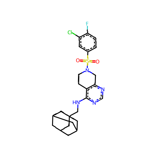 O=S(=O)(c1ccc(F)c(Cl)c1)N1CCc2c(ncnc2NCC23CC4CC(CC(C4)C2)C3)C1